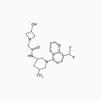 CC1CC(NC(=O)CN2CC(O)C2)CN(c2ccc(C(F)F)c3ncccc23)C1